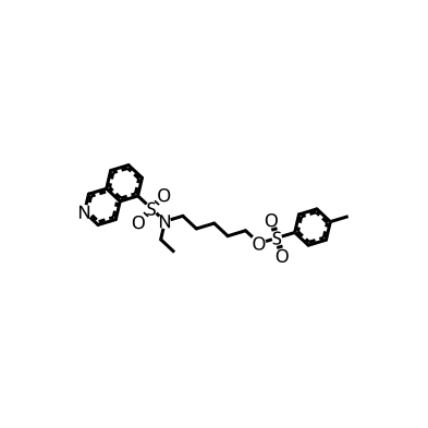 CCN(CCCCCOS(=O)(=O)c1ccc(C)cc1)S(=O)(=O)c1cccc2cnccc12